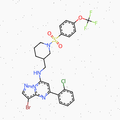 O=S(=O)(c1ccc(OC(F)(F)F)cc1)N1CCCC(CNc2cc(-c3ccccc3Cl)nc3c(Br)cnn23)C1